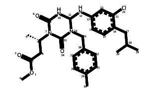 COC(=O)C[C@H](C)N1C(=O)NC(Nc2ccc(CC(C)C)c(Cl)c2)N(Cc2ccc(C)cc2)C1=O